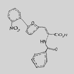 O=C(O)C(=Cc1ccc(-c2ccccc2[N+](=O)[O-])o1)NC(=O)c1ccccc1